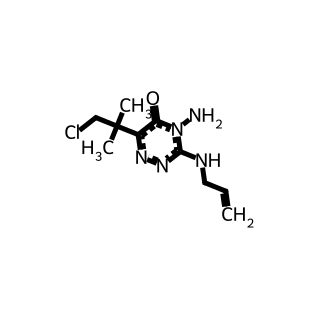 C=CCNc1nnc(C(C)(C)CCl)c(=O)n1N